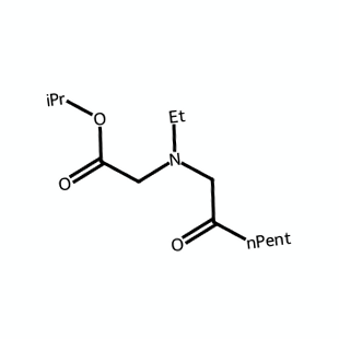 CCCCCC(=O)CN(CC)CC(=O)OC(C)C